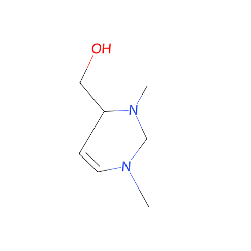 CN1C=CC(CO)N(C)C1